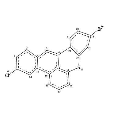 Clc1ccc2cc3c4c(cccc4c2c1)Sc1cc(Br)ccc1-3